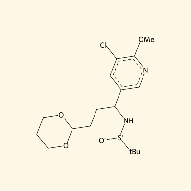 COc1ncc(C(CCC2OCCCO2)N[S+]([O-])C(C)(C)C)cc1Cl